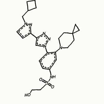 O=S(=O)(CCO)Nc1ccc(-n2cc(-c3ccn(CC4CCC4)n3)nn2)c(N2CCC3(CC2)CC3)c1